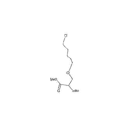 CCCCC(COCCCCCl)C(=O)OC